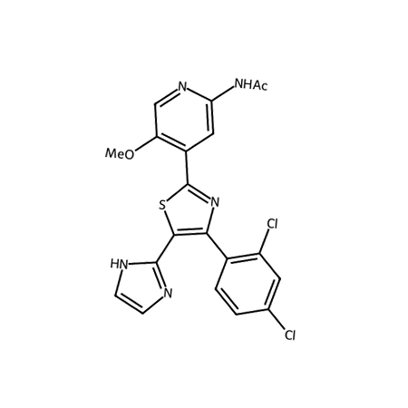 COc1cnc(NC(C)=O)cc1-c1nc(-c2ccc(Cl)cc2Cl)c(-c2ncc[nH]2)s1